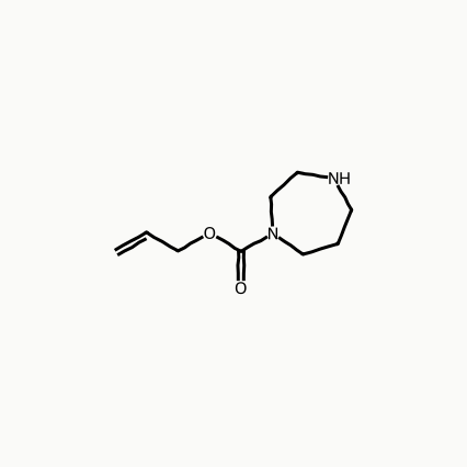 C=CCOC(=O)N1CCCNCC1